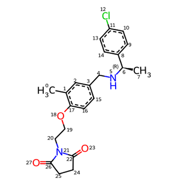 Cc1cc(CN[C@H](C)c2ccc(Cl)cc2)ccc1OCCN1C(=O)CCC1=O